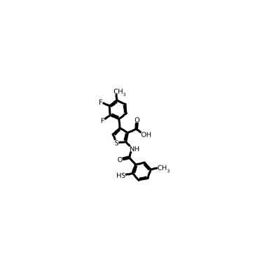 Cc1ccc(S)c(C(=O)Nc2scc(-c3ccc(C)c(F)c3F)c2C(=O)O)c1